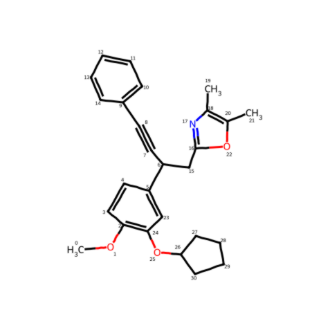 COc1ccc(C(C#Cc2ccccc2)Cc2nc(C)c(C)o2)cc1OC1CCCC1